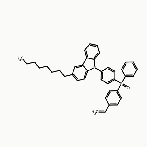 C=Cc1ccc(P(=O)(c2ccccc2)c2ccc(-n3c4ccccc4c4cc(CCCCCCCC)ccc43)cc2)cc1